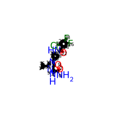 NC(=O)c1[nH]cnc1C(=O)N(CCC1CC1)c1ccc(NC(=O)c2cc(F)c(F)cc2Cl)cc1